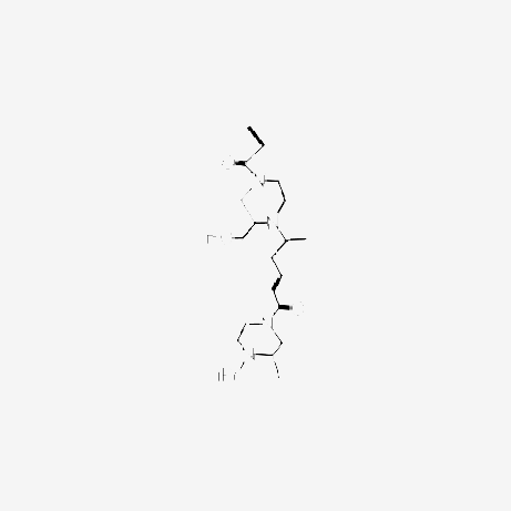 C=CC(=O)N1CCN(C(C)C/C=C/C(=O)N2CCN(C(C)C)C(C)C2)C(CO)C1